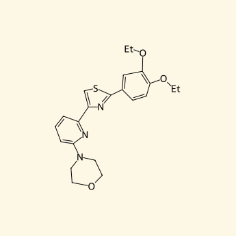 CCOc1ccc(-c2nc(-c3cccc(N4CCOCC4)n3)cs2)cc1OCC